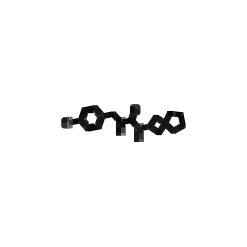 O=C(NCc1ccc(Cl)cc1)NC1CC2(CCCC2)C1